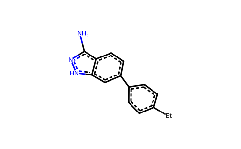 CCc1ccc(-c2ccc3c(N)n[nH]c3c2)cc1